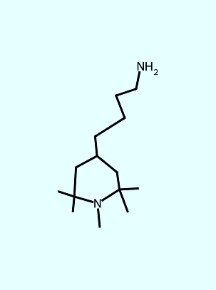 CN1C(C)(C)CC(CCCCN)CC1(C)C